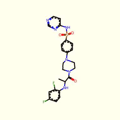 CC(Nc1ccc(F)cc1F)C(=O)N1CCN(c2ccc(S(=O)(=O)Nc3ccncn3)cc2)CC1